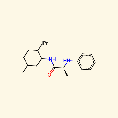 CC1CCC(C(C)C)C(NC(=O)[C@H](C)Nc2ccccc2)C1